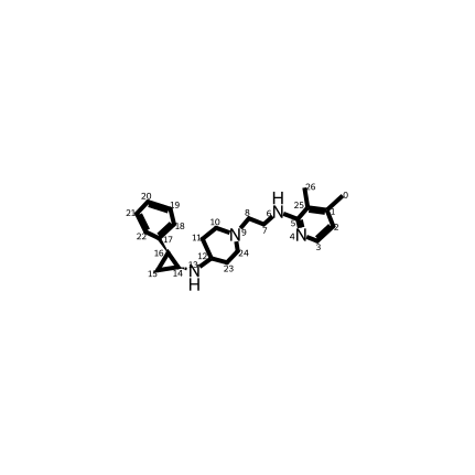 Cc1ccnc(NCCN2CCC(N[C@@H]3C[C@H]3c3ccccc3)CC2)c1C